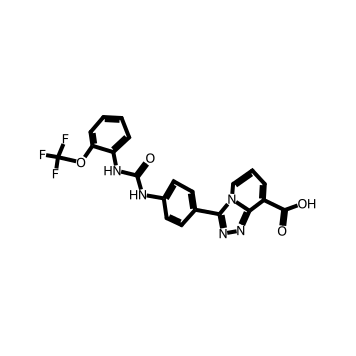 O=C(Nc1ccc(-c2nnc3c(C(=O)O)cccn23)cc1)Nc1ccccc1OC(F)(F)F